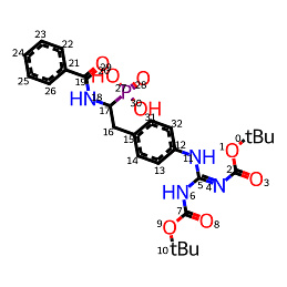 CC(C)(C)OC(=O)N=C(NC(=O)OC(C)(C)C)Nc1ccc(CC(NC(=O)c2ccccc2)P(=O)(O)O)cc1